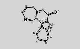 O=C1CC2=C(C=NC=CC2)c2c1[nH]c1ccccc21